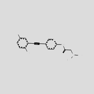 Cc1ccc(C(=O)O)cc1C#Cc1ccc(NC(=O)CN(C)C)nc1